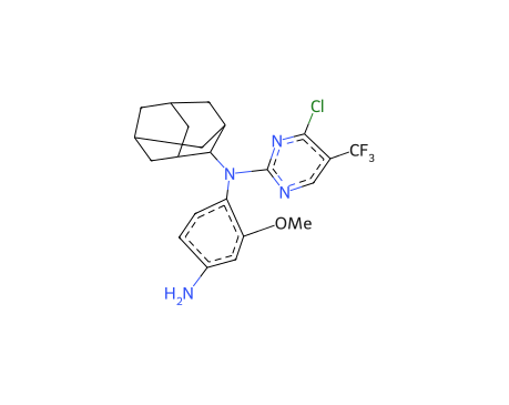 COc1cc(N)ccc1N(c1ncc(C(F)(F)F)c(Cl)n1)C1C2CC3CC(C2)CC1C3